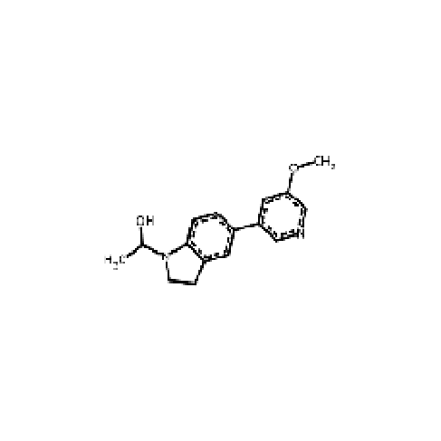 COc1cncc(-c2ccc3c(c2)CCN3C(C)O)c1